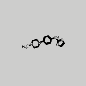 CN1CCN(c2ccc(Nc3ncco3)cc2)CC1